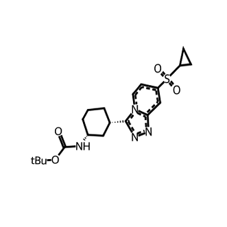 CC(C)(C)OC(=O)N[C@@H]1CCC[C@H](c2nnc3cc(S(=O)(=O)C4CC4)ccn23)C1